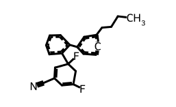 CCCCc1cccc(-c2ccccc2C2(F)C=C(C#N)C=C(F)C2)c1